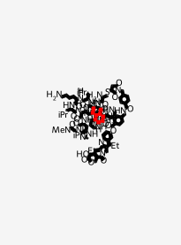 CCc1c2c(nc3ccc(OC(=O)C4CCC(CNC(=O)C5CCC(CN6C(=O)CC(SCC(N)C(=O)NC(C(=O)NC(CCCCN)C(=O)NC(CCCNC(=N)N)C(=O)NCC(=O)NC(CC(C)C)C(=O)NC(CCCCN)C(=O)NC(CC(C)C)C(=O)NC(CCCNC(=N)N)C(=O)NC(Cc7cnc[nH]7)C(=O)NC(C(=O)NC)C(C)C)C(C)C)C6=O)CC5)CC4)cc13)-c1cc3c(c(=O)n1C2)COC(=O)[C@]3(O)CC